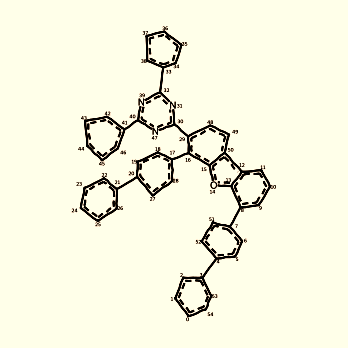 c1ccc(-c2ccc(-c3cccc4c3oc3c(-c5ccc(-c6ccccc6)cc5)c(-c5nc(-c6ccccc6)nc(-c6ccccc6)n5)ccc34)cc2)cc1